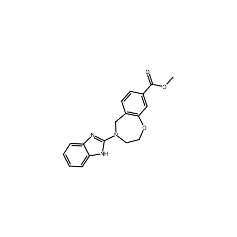 COC(=O)c1ccc2c(c1)OCCN(c1nc3ccccc3[nH]1)C2